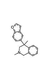 CN1Cc2ccccc2C(C)(c2ccc3occc3c2)C1